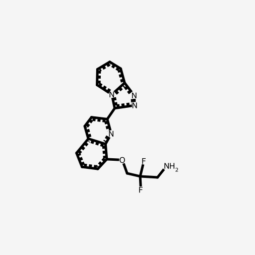 NCC(F)(F)COc1cccc2ccc(-c3nnc4ccccn34)nc12